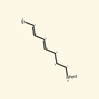 [CH2]C/C=C/C=C/CCCCCCCC